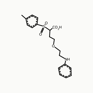 Cc1ccc(S(=O)(=O)C(CCOCCNc2ccccc2)C(=O)O)cc1